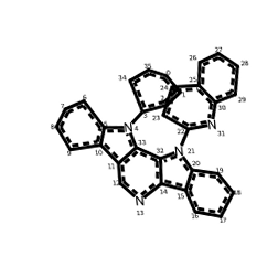 c1ccc(-n2c3ccccc3c3cnc4c5ccccc5n(-c5ccc6ccccc6n5)c4c32)cc1